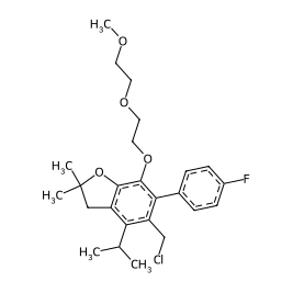 COCCOCCOc1c2c(c(C(C)C)c(CCl)c1-c1ccc(F)cc1)CC(C)(C)O2